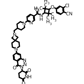 CC1(C)C(NC(=O)c2ccc(N3CCC(CN4CC5(CCN(c6ccc7c(=O)n(C8CCC(=O)NC8=O)nnc7c6)CC5)C4)CC3)nc2)C(C)(C)C1Oc1ccc(C#N)c(Cl)c1